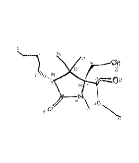 CCC[C@H]1C(=O)N(C)[C@@](CO)(C(=O)OC)C1(C)C